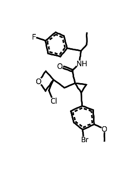 CCC(NC(=O)C1(CC2(CCl)COC2)CC1c1ccc(Br)c(OC)c1)c1ccc(F)cc1